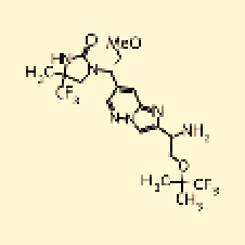 COC[C@H](c1cnn2cc([C@@H](N)COC(C)(C)C(F)(F)F)nc2c1)N1CC(C)(C(F)(F)F)NC1=O